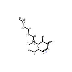 C=C(/C=C\CCC)C(C)CN(C)CCCCOC